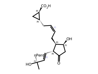 CCCCC[C@](C)(O)/C=C/[C@H]1C(=O)C[C@H](O)[C@@H]1C/C=C\C[C@@H]1C[C@H]1C(=O)O